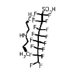 C=CCNCC=C.O=S(=O)(O)C(F)(F)C(F)(F)C(F)(F)C(F)(F)C(F)(F)C(F)(F)C(F)(F)C(F)F